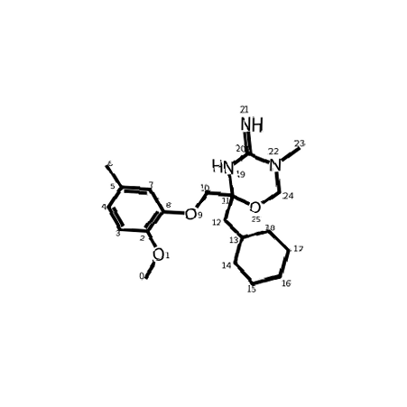 COc1ccc(C)cc1OCC1(CC2CCCCC2)NC(=N)N(C)CO1